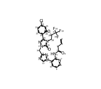 C=CCC(=O)Nc1ncccc1-n1cnc(Cn2nc(-c3ccc(Cl)cc3)n(C[C@H](O)C(F)(F)F)c2=O)n1